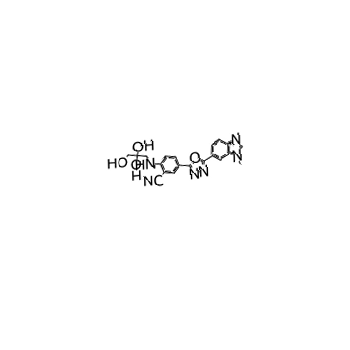 Cn1cnc2ccc(-c3nnc(-c4ccc(NCC(O)(O)CO)c(C#N)c4)o3)cc21